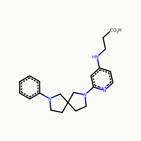 O=C(O)CCNc1ccnc(N2CCC3(CCN(c4ccccc4)C3)C2)c1